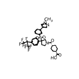 Cn1cc(-c2cccc(S(=O)(=O)C3(c4ccc(C(F)(C(F)(F)F)C(F)(F)F)cc4)CCN(C(=O)[C@H]4CC[C@H](C(=O)O)CC4)C3)c2)cn1